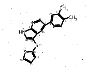 Cc1ccc(-c2cnc3[nH]cc(Sc4cccs4)c3c2)cc1C